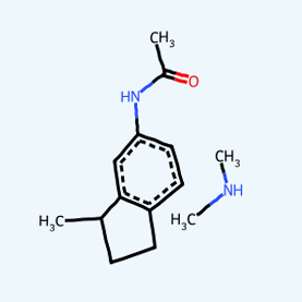 CC(=O)Nc1ccc2c(c1)C(C)CC2.CNC